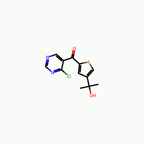 CC(C)(O)c1csc(C(=O)c2cncnc2Cl)c1